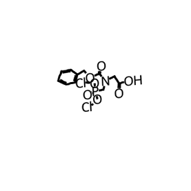 O=C(O)CN(CP(=O)(OCl)OCl)C(=O)OCc1ccccc1